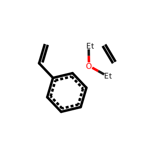 C=C.C=Cc1ccccc1.CCOCC